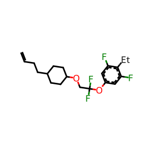 C=CCCC1CCC(OCC(F)(F)Oc2cc(F)c(CC)c(F)c2)CC1